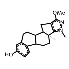 COc1nn(C)c2c1CC1C3CCc4cc(O)ccc4C3CC[C@]21C